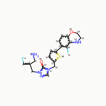 NC/C(=C\F)Cn1ncn(Cc2ccc(-c3ccc4c(c3F)NCCO4)s2)c1=O